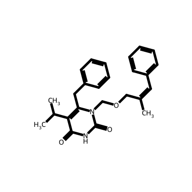 CC(=Cc1ccccc1)COCn1c(Cc2ccccc2)c(C(C)C)c(=O)[nH]c1=O